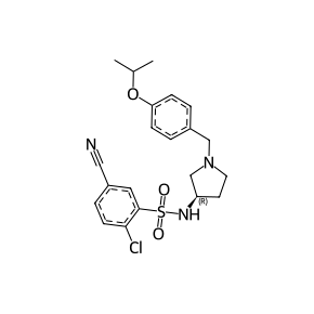 CC(C)Oc1ccc(CN2CC[C@@H](NS(=O)(=O)c3cc(C#N)ccc3Cl)C2)cc1